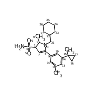 CC1C(S(N)(=O)=O)C=C(c2cc(C(F)(F)F)cc(C3(C)CC3)c2)N1CC1CCCCC1